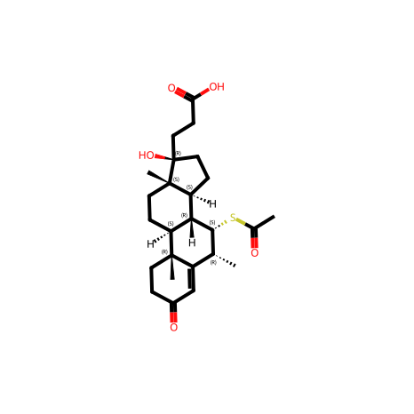 CC(=O)S[C@H]1[C@@H]2[C@H](CC[C@@]3(C)[C@H]2CC[C@@]3(O)CCC(=O)O)[C@@]2(C)CCC(=O)C=C2[C@H]1C